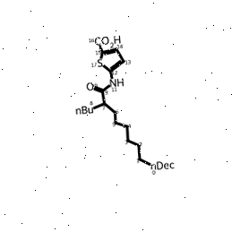 CCCCCCCCCCCCCCCCC(CCCC)C(=O)Nc1ccc(C(=O)O)s1